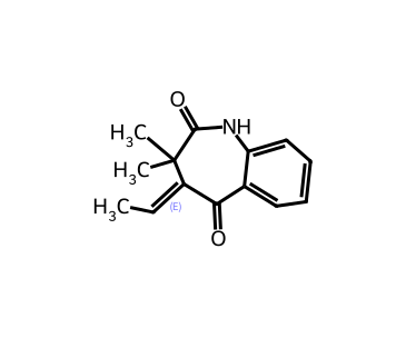 C/C=C1/C(=O)c2ccccc2NC(=O)C1(C)C